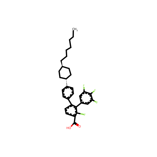 CCCCCCC[C@H]1CC[C@H](c2ccc(-c3ccc(C(=O)O)c(F)c3-c3cc(F)c(F)c(F)c3)cc2)CC1